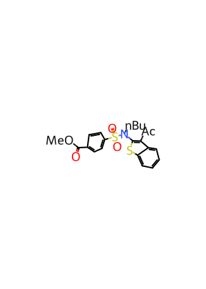 CCCCN(c1sc2ccccc2c1C(C)=O)S(=O)(=O)c1ccc(C(=O)OC)cc1